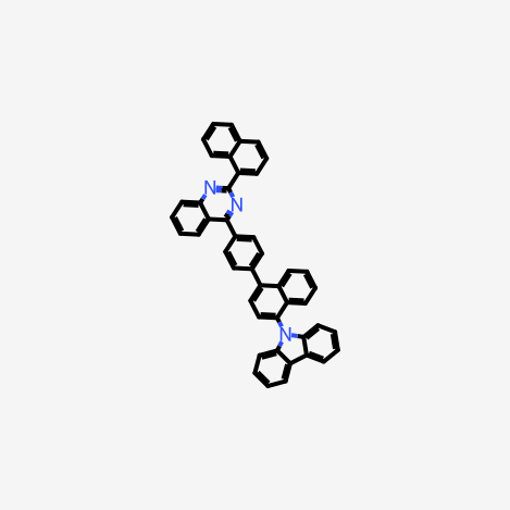 c1ccc2c(-c3nc(-c4ccc(-c5ccc(-n6c7ccccc7c7ccccc76)c6ccccc56)cc4)c4ccccc4n3)cccc2c1